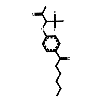 CCCCCC(=O)c1ccc(OC(C(C)=O)C(F)(F)F)cc1